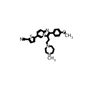 COc1ccc(-c2nc3ccc(-c4ccc(C#N)s4)cn3c2CCN2CCCN(C)CC2)cc1